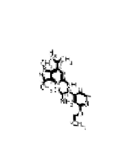 CCOc1cc(N(Nc2cc(C(C)C)c3c(n2)c(C)nn3C)C(N)=O)ccn1